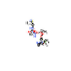 Cc1ncsc1-c1ccc(CNC(=O)[C@@H]2C[C@@H](O)CN2C(=O)C(NC(=O)COCCOC(C)C(C)OCCOc2cc(F)c([C@@H]3c4[nH]c5ccccc5c4C[C@@H](C)N3CC(C)(C)F)c(F)c2)C(C)(C)C)cc1